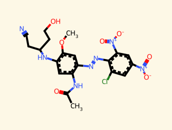 COc1cc(N=Nc2c(Cl)cc([N+](=O)[O-])cc2[N+](=O)[O-])c(NC(C)=O)cc1NC(CC#N)CCO